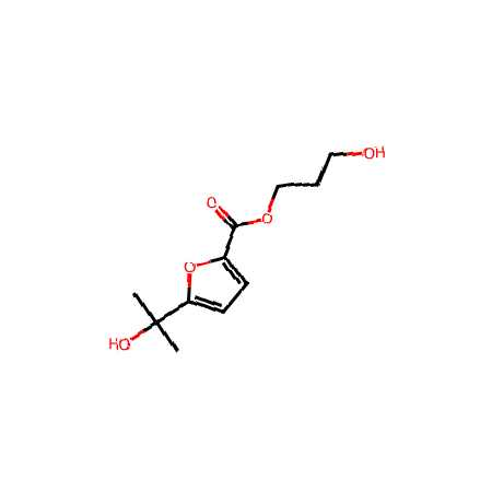 CC(C)(O)c1ccc(C(=O)OCCCO)o1